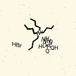 Br.CCCC[N+](CCCC)(CCCC)CCCC.N.N.O=P([O-])(O)O